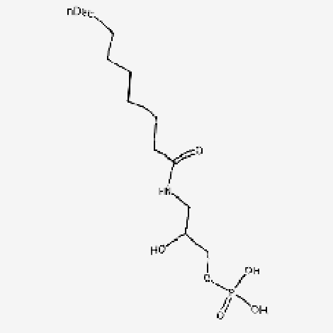 CCCCCCCCCCCCCCCCC(=O)NCC(O)COP(=O)(O)O